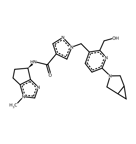 Cn1cnc2c1CC[C@H]2NC(=O)c1cnn(Cc2ccc(N3CC4CC4C3)nc2CO)c1